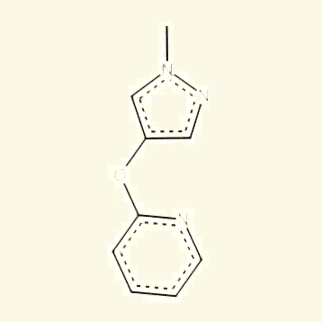 Cn1cc(Oc2ccccn2)cn1